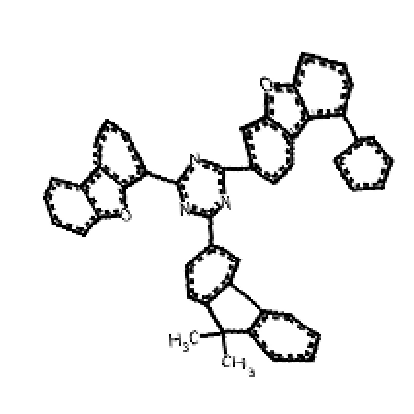 CC1(C)c2ccccc2-c2cc(-c3nc(-c4ccc5c(c4)oc4cccc(-c6ccccc6)c45)nc(-c4cccc5c4oc4ccccc45)n3)ccc21